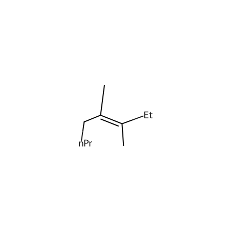 CCCCC(C)=C(C)CC